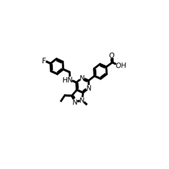 CCc1nn(C)c2nc(-c3ccc(C(=O)O)cc3)nc(NCc3ccc(F)cc3)c12